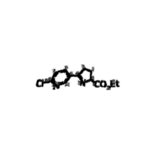 CCOC(=O)C1CCC(c2ccc(Cl)nc2)=N1